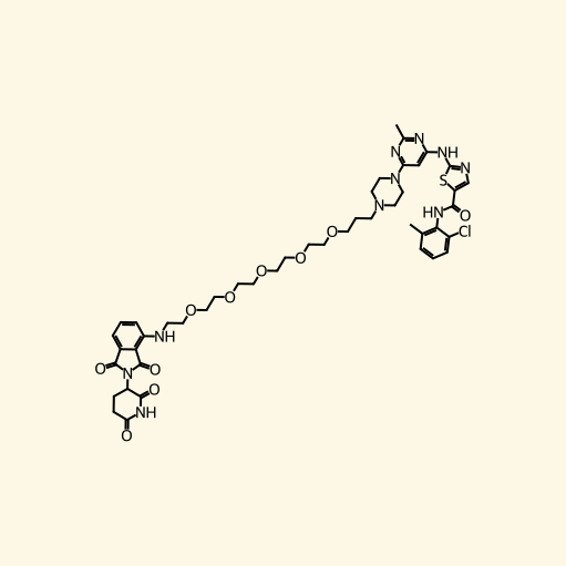 Cc1nc(Nc2ncc(C(=O)Nc3c(C)cccc3Cl)s2)cc(N2CCN(CCCOCCOCCOCCOCCOCCNc3cccc4c3C(=O)N(C3CCC(=O)NC3=O)C4=O)CC2)n1